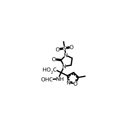 Cc1cc(C(NC=O)(C(=O)O)N2CCN(S(C)(=O)=O)C2=O)no1